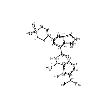 C[C@@H](NC(=O)c1cc(C2=CCS(=O)(=O)CC2)nc2cn[nH]c12)c1cccc(C(F)F)c1F